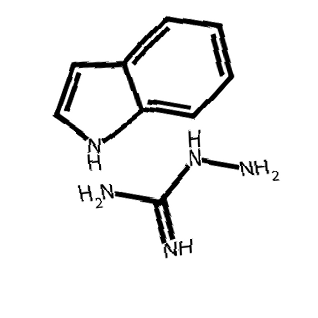 N=C(N)NN.c1ccc2[nH]ccc2c1